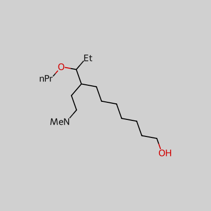 CCCOC(CC)C(CCCCCCCO)CCNC